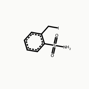 NS(=O)(=O)c1ccccc1CI